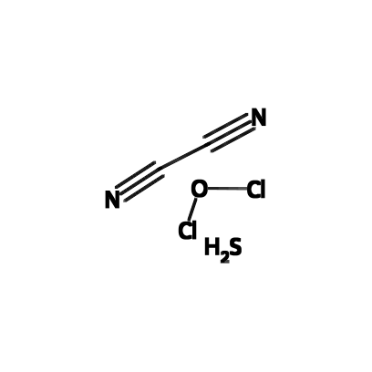 ClOCl.N#CC#N.S